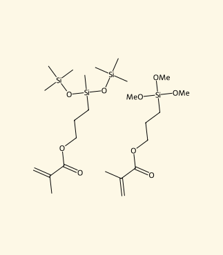 C=C(C)C(=O)OCCC[Si](C)(O[Si](C)(C)C)O[Si](C)(C)C.C=C(C)C(=O)OCCC[Si](OC)(OC)OC